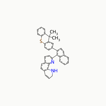 CC1(C)c2ccccc2Sc2ccc(-c3ccc4ccccc4c3-c3ccc4ccc5c(c4n3)NCC=C5)cc21